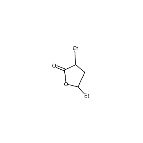 CCC1CC(CC)C(=O)O1